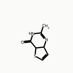 CC1=NC2C=CSC2C(=O)N1